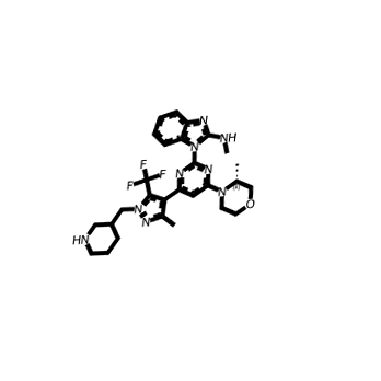 CNc1nc2ccccc2n1-c1nc(-c2c(C)nn(CC3CCCNC3)c2C(F)(F)F)cc(N2CCOC[C@H]2C)n1